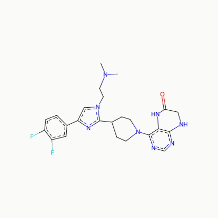 CN(C)CCn1cc(-c2ccc(F)c(F)c2)nc1C1CCN(c2ncnc3c2NC(=O)CN3)CC1